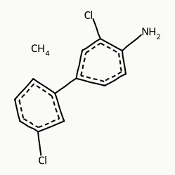 C.Nc1ccc(-c2cccc(Cl)c2)cc1Cl